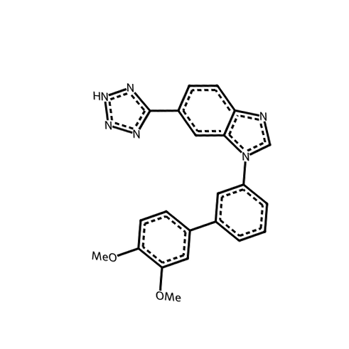 COc1ccc(-c2cccc(-n3cnc4ccc(-c5nn[nH]n5)cc43)c2)cc1OC